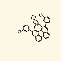 Clc1cccc(-c2cc3ccccc3c3c2C[N+]2(Cc4c(-c5cccc(Cl)c5)cc5ccccc5c4-3)CC3(CCC3)C2)c1